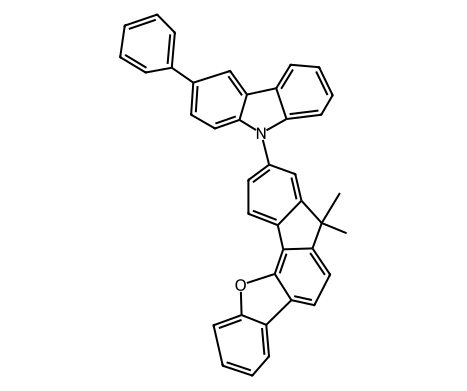 CC1(C)c2cc(-n3c4ccccc4c4cc(-c5ccccc5)ccc43)ccc2-c2c1ccc1c2oc2ccccc21